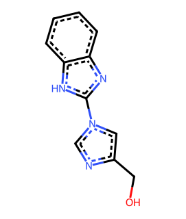 OCc1cn(-c2nc3ccccc3[nH]2)cn1